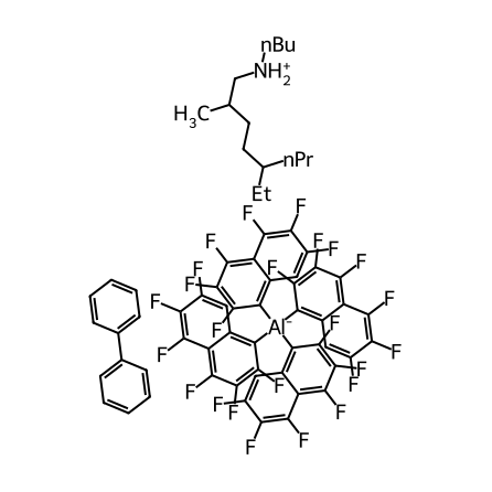 CCCC[NH2+]CC(C)CCC(CC)CCC.Fc1cc2[c]([Al-]([c]3c(F)c(F)c(F)c4c(F)c(F)c(F)cc34)([c]3c(F)c(F)c(F)c4c(F)c(F)c(F)cc34)[c]3c(F)c(F)c(F)c4c(F)c(F)c(F)cc34)c(F)c(F)c(F)c2c(F)c1F.c1ccc(-c2ccccc2)cc1